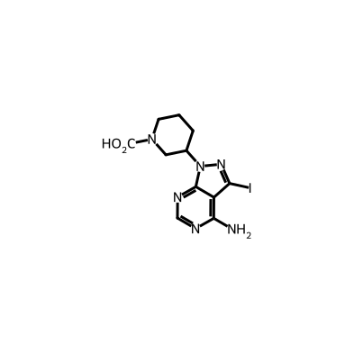 Nc1ncnc2c1c(I)nn2C1CCCN(C(=O)O)C1